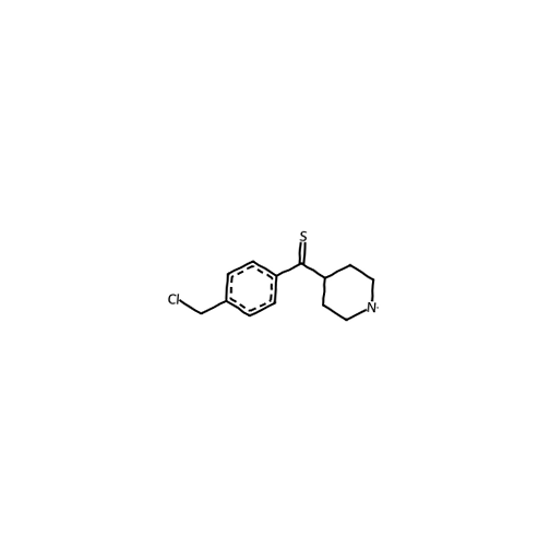 S=C(c1ccc(CCl)cc1)C1CC[N]CC1